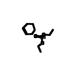 C1=CCCCC1.CCO[PH](=O)OCC